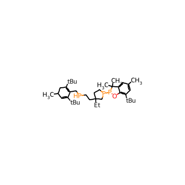 CCC1(CCPCC2=C(C(C)(C)C)CC(C)C=C2C(C)(C)C)CCP(P2Oc3c(C(C)(C)C)cc(C)cc3C2(C)C)C1